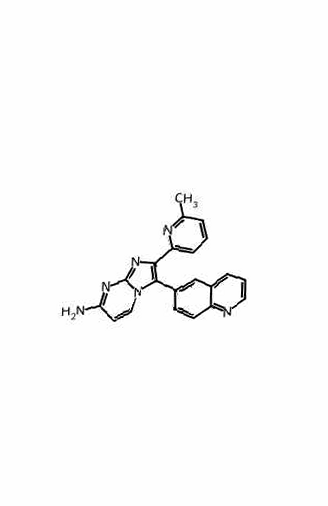 Cc1cccc(-c2nc3nc(N)ccn3c2-c2ccc3ncccc3c2)n1